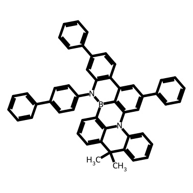 CC1(C)c2ccccc2N2c3cc(-c4ccccc4)cc4c3B(c3cccc1c32)N(c1ccc(-c2ccccc2)cc1)c1cc(-c2ccccc2)ccc1-4